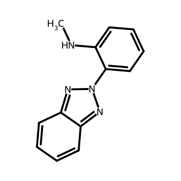 CNc1ccccc1-n1nc2ccccc2n1